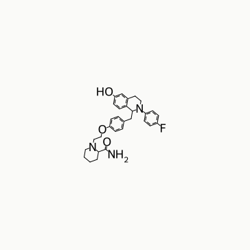 NC(=O)C1CCCCN1CCOc1ccc(CC2c3ccc(O)cc3CCN2c2ccc(F)cc2)cc1